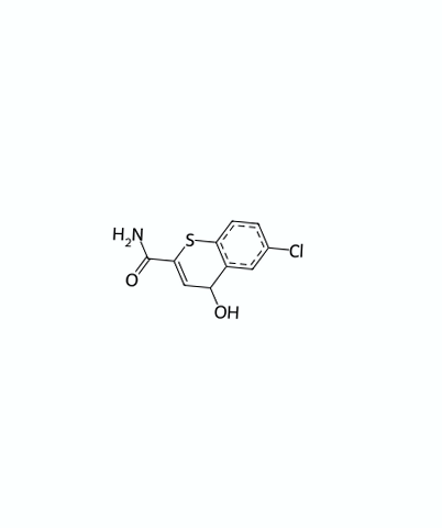 NC(=O)C1=CC(O)c2cc(Cl)ccc2S1